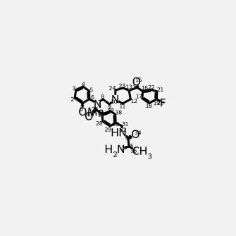 COc1ccccc1N(CCN1CCC(C(=O)c2ccc(F)cc2)CC1)C(=O)c1ccc(CNC(=O)C(C)N)cc1